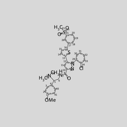 COc1ccc(C(CNC(=O)c2cc(-c3ccc(-c4cccc(S(C)(=O)=O)c4)s3)n(-c3ccccc3Cl)n2)N(C)C)cc1